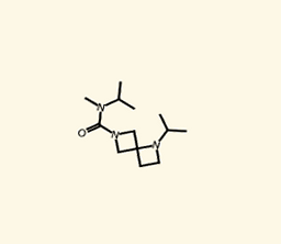 CC(C)N(C)C(=O)N1CC2(CCN2C(C)C)C1